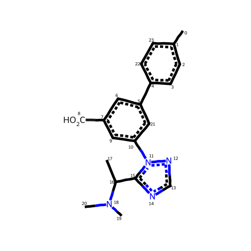 Cc1ccc(-c2cc(C(=O)O)cc(-n3ncnc3C(C)N(C)C)c2)cc1